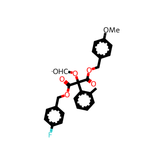 COc1ccc(COC(=O)C(O[C]=O)(C(=O)OCc2ccc(F)cc2)c2ccccc2C)cc1